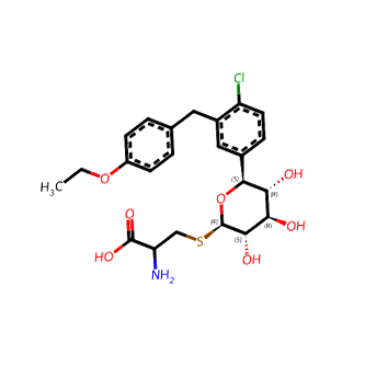 CCOc1ccc(Cc2cc([C@@H]3O[C@H](SCC(N)C(=O)O)[C@@H](O)[C@H](O)[C@H]3O)ccc2Cl)cc1